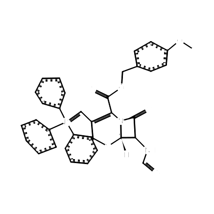 COc1ccc(COC(=O)C2=C(C=P(c3ccccc3)(c3ccccc3)c3ccccc3)CS[C@H]3C(NC=O)C(=O)N23)cc1